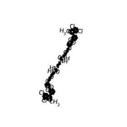 CN1Cc2c(Cl)cc(Cl)cc2C(c2cccc(S(=O)(=O)N3CC[C@@H](OCCOCCNC(=O)NCCCCNC(=O)NCCOCCO[C@@H]4CCN(S(=O)(=O)c5cccc([C@@H]6CN(C)Cc7c(Cl)cc(Cl)cc76)c5)C4)C3)c2)C1